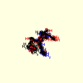 CCCC(=O)OCN(C(=O)[C@@H](NC(=O)[C@H]1CCCCN1C)C(C)CC)[C@H](C[C@@H](OC(C)=O)C1=C(C)CCC(C(=O)N[C@@H](Cc2ccc(O)cc2)C[C@H](C)C(=O)NNC(=O)OCCSSC[C@@H](NC(=O)[C@H](CCC(=O)NCC[C@@H](O)[C@H](O)[C@H](O)CO)NC(=O)[C@@H](CCC(=O)O)NC(=O)[C@H](C)NC(=O)CNC(=O)CNC(=O)CC[C@@H](NC(=O)c2ccc(NCc3cnc4nc(N)[nH]c(=O)c4n3)cc2)C(=O)O)C(=O)O)=CS1)C(C)C